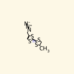 CC1CS/C(=C2/SC=C(CN=[N+]=[N-])S2)S1